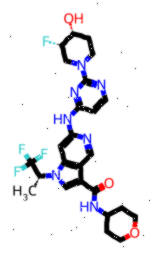 C[C@@H](n1cc(C(=O)NC2CCOCC2)c2cnc(Nc3ccnc(N4CC[C@@H](O)[C@@H](F)C4)n3)cc21)C(F)(F)F